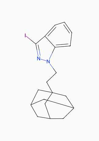 Ic1nn(CCC23CC4CC(CC(C4)C2)C3)c2ccccc12